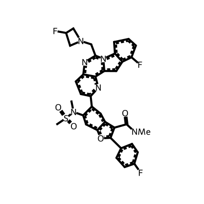 CNC(=O)c1c(-c2ccc(F)cc2)oc2cc(N(C)S(C)(=O)=O)c(-c3ccc4nc(CN5CC(F)C5)n5c6cccc(F)c6cc5c4n3)cc12